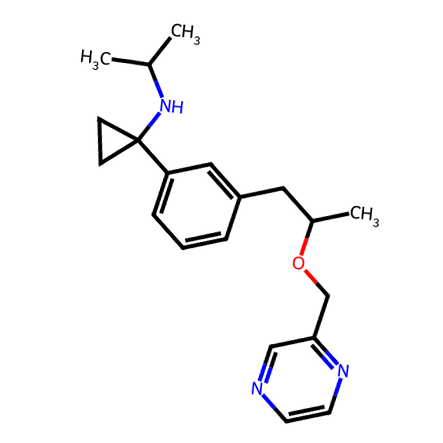 CC(C)NC1(c2cccc(CC(C)OCc3cnccn3)c2)CC1